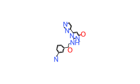 Cn1c(NCC(=O)c2cccc(C#N)c2)nc(-c2ccncn2)cc1=O